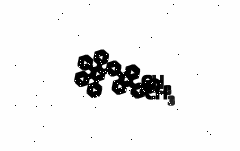 CP(C)(=O)c1cccc(-c2c3ccccc3c(-c3cccc(-c4cc(-c5ccccc5)c(-c5ccccc5)c(-c5ccccc5)c4-c4ccccc4)c3)c3ccccc23)c1